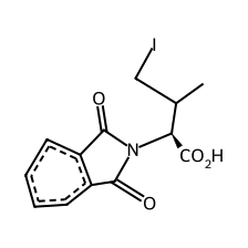 CC(CI)[C@@H](C(=O)O)N1C(=O)c2ccccc2C1=O